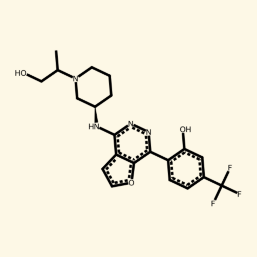 CC(CO)N1CCC[C@@H](Nc2nnc(-c3ccc(C(F)(F)F)cc3O)c3occc23)C1